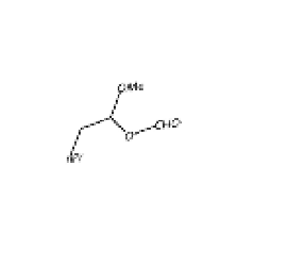 CCCCC(OC)O[C]=O